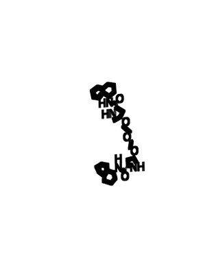 O=C(N[C@@H]1CCCc2ccccc21)[C@@H]1C[C@H](OCCOCCO[C@@H]2CN[C@H](C(=O)N[C@@H]3CCCc4ccccc43)C2)CN1